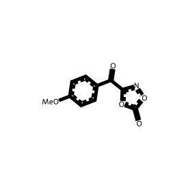 COc1ccc(C(=O)c2noc(=O)o2)cc1